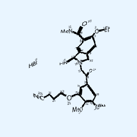 Br.CCOc1cc2c(cc1C(=O)NC)C(=N)N(CC(=O)c1cc(OCCCC#N)c(OC)c(C(C)(C)C)c1)C2